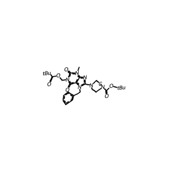 Cn1c(=O)n(COC(=O)C(C)(C)C)c(=O)c2c1nc(N1CCN(C(=O)OC(C)(C)C)CC1)n2Cc1ccccc1